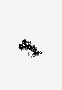 CS(=O)(=O)N(Cc1sc(Br)nc1C(F)(F)F)c1ccc2c(-c3ncc[nH]3)c(-c3ccccc3)oc2c1